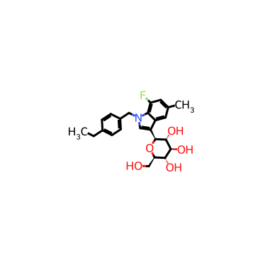 CCc1ccc(Cn2cc([C@@H]3O[C@H](CO)[C@@H](O)[C@H](O)[C@H]3O)c3cc(C)cc(F)c32)cc1